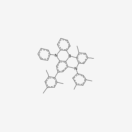 Cc1cc(C)cc(N2c3cc(C)cc(C)c3B3c4ccccc4N(c4ccccc4)c4cc(-c5c(C)cc(C)cc5C)cc2c43)c1